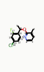 Cc1cccnc1OC(C)c1ccc(Cl)cc1F